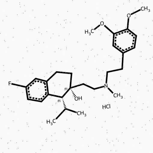 COc1ccc(CCN(C)CC[C@]2(O)CCc3cc(F)ccc3[C@H]2C(C)C)cc1OC.Cl